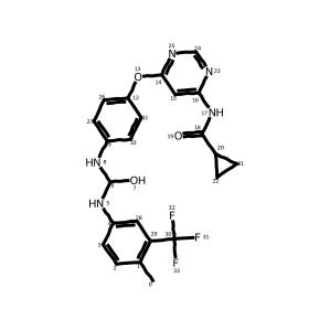 Cc1ccc(NC(O)Nc2ccc(Oc3cc(NC(=O)C4CC4)ncn3)cc2)cc1C(F)(F)F